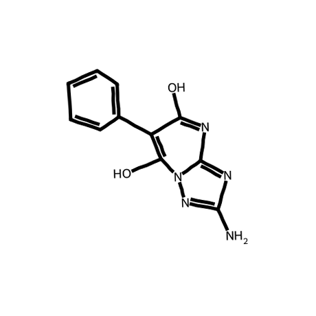 Nc1nc2nc(O)c(-c3ccccc3)c(O)n2n1